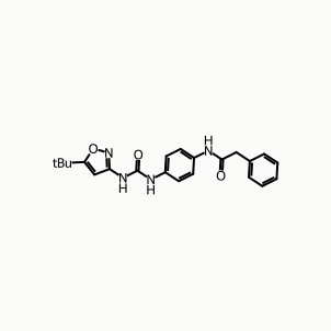 CC(C)(C)c1cc(NC(=O)Nc2ccc(NC(=O)Cc3ccccc3)cc2)no1